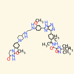 COc1cc(-c2nc3c(-c4ccc([C@@H](C)NC(=O)c5nc(C(C)(C)C)no5)c(C)c4)ncnc3[nH]2)ccc1NCCNCC1CCN(c2ccc(N3CCC(=O)NC3=O)c(C)c2)CC1